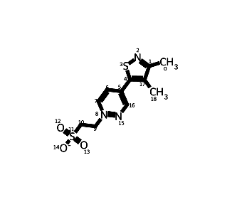 Cc1nsc(-c2cc[n+](CCS(=O)(=O)[O-])nc2)c1C